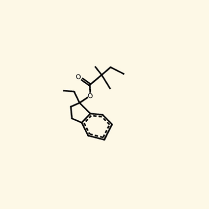 CCC(C)(C)C(=O)OC1(CC)CCc2ccccc21